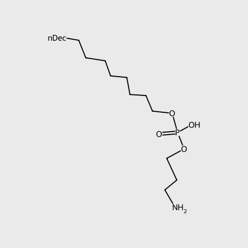 CCCCCCCCCCCCCCCCCCOP(=O)(O)OCCCN